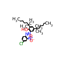 CCCCCC(C)(C)c1cc(N=Nc2ccc(Cl)cc2[N+](=O)[O-])c(O)c(C(C)(C)CCCCC)c1